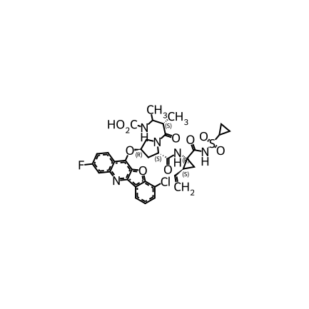 C=C[C@@H]1C[C@]1(NC(=O)[C@@H]1C[C@@H](Oc2c3ccc(F)cc3nc3c2oc2c(Cl)cccc23)CN1C(=O)[C@@H](C)C(C)NC(=O)O)C(=O)NS(=O)(=O)C1CC1